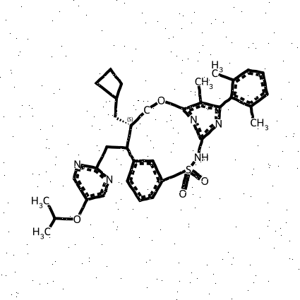 Cc1cccc(C)c1-c1nc2nc(c1C)OC[C@@H](CC1CCC1)C(Cc1ncc(OC(C)C)cn1)c1cccc(c1)S(=O)(=O)N2